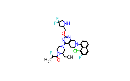 C=C(F)C(=O)N1CCN(c2nc(OCC3CC(F)(F)CN3)nc3c2CCN(c2cccc4ccc(F)c(Cl)c24)C3)CC1CC#N